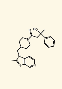 Cc1nc2cnccc2n1CC1CCN(C(=O)CC(C)(O)c2ccccc2)CC1